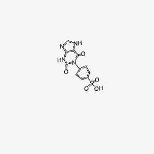 O=c1[nH]c2nc[nH]c2c(=O)n1-c1ccc(S(=O)(=O)O)cc1